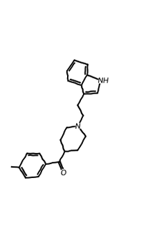 Cc1ccc(C(=O)C2CCN(CCc3c[nH]c4ccccc34)CC2)cc1